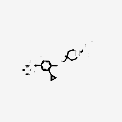 CC(C)(C)OC(=O)N1CCC(F)(COCc2cc(F)c(C(=O)NS(C)(=O)=O)cc2C2CC2)CC1